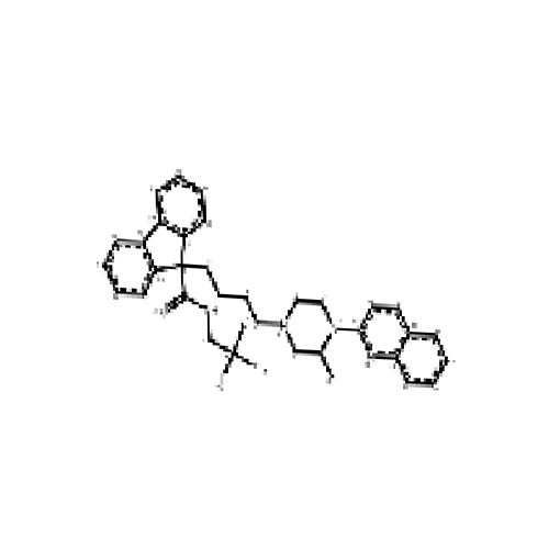 CC1CN(CCCCC2(C(=O)NCC(F)(F)F)c3ccccc3-c3ccccc32)CCN1c1ccc2ccccc2n1